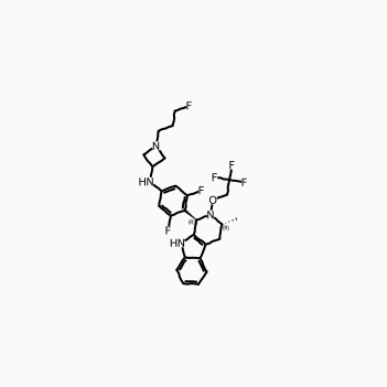 C[C@@H]1Cc2c([nH]c3ccccc23)[C@@H](c2c(F)cc(NC3CN(CCCF)C3)cc2F)N1OCC(F)(F)F